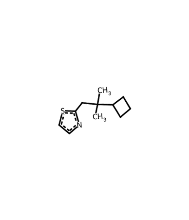 CC(C)(Cc1nccs1)C1CCC1